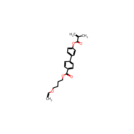 C=COCCCCOC(=O)c1ccc(-c2ccc(OC(=O)C(=C)C)cc2)cc1